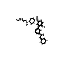 CC(=O)NCCN[C@H]1CC[C@H](Nc2cc(-c3cccc(NCC4CCOCC4)c3)c(Cl)cn2)CC1